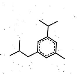 C[C](C)c1cc(C)cc(CC(C)C)c1